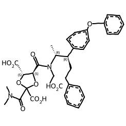 C[C@H]([C@H](CCc1ccccc1)c1ccc(Oc2ccccc2)cc1)N(CC(=O)O)C(=O)[C@H]1OC(C(=O)O)(C(=O)N(C)C)O[C@@H]1C(=O)O